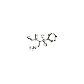 NCC(NC=O)S(=O)(=O)c1ccccc1